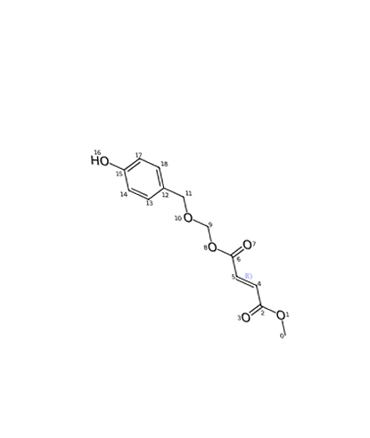 COC(=O)/C=C/C(=O)OCOCc1ccc(O)cc1